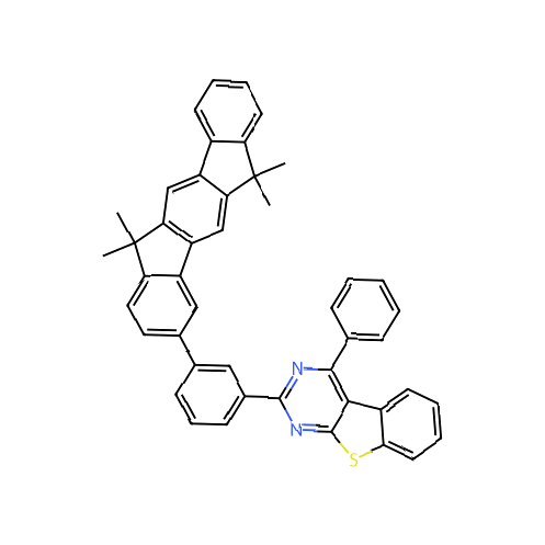 CC1(C)c2ccccc2-c2cc3c(cc21)-c1cc(-c2cccc(-c4nc(-c5ccccc5)c5c(n4)sc4ccccc45)c2)ccc1C3(C)C